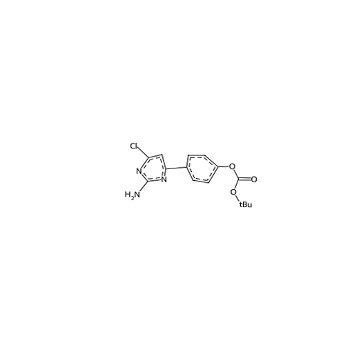 CC(C)(C)OC(=O)Oc1ccc(-c2cc(Cl)nc(N)n2)cc1